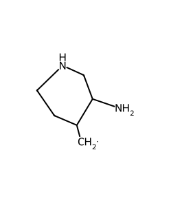 [CH2]C1CCNCC1N